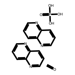 C=O.O=P(O)(O)O.c1cnc2cccnc2c1.c1cnc2cccnc2c1